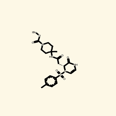 Cc1ccc(S(=O)(=O)N2C=CNC(=O)[C@H]2CC(=O)NC2(C)CCN(C(=O)OC(C)(C)C)CC2)cc1